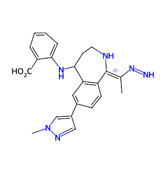 C/C(N=N)=C1/NCCC(Nc2ccccc2C(=O)O)c2cc(-c3cnn(C)c3)ccc21